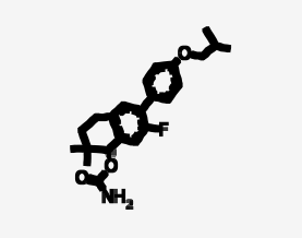 CC(C)COc1ccc(-c2cc3c(cc2F)[C@H](OC(N)=O)C(C)(C)CC3)cc1